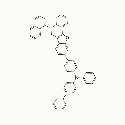 c1ccc(-c2ccc(N(c3ccccc3)c3ccc(-c4ccc5c(c4)oc4c6ccccc6c(-c6cccc7ccccc67)cc54)cc3)cc2)cc1